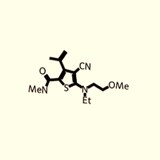 C=C(C)c1c(C(=O)NC)sc(N(CC)CCOC)c1C#N